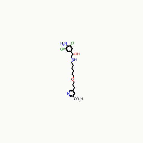 Nc1c(Cl)cc(C(O)CNCCCCCCOCCCc2cncc(C(=O)O)c2)cc1Cl